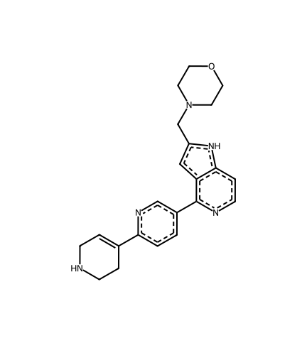 C1=C(c2ccc(-c3nccc4[nH]c(CN5CCOCC5)cc34)cn2)CCNC1